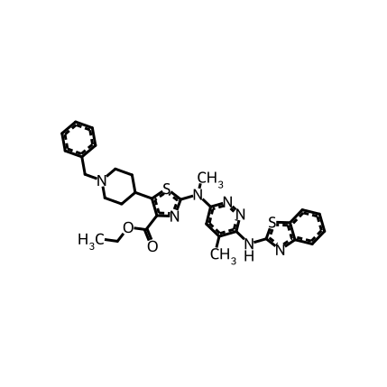 CCOC(=O)c1nc(N(C)c2cc(C)c(Nc3nc4ccccc4s3)nn2)sc1C1CCN(Cc2ccccc2)CC1